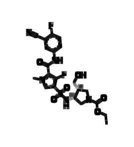 CCOC(=O)N1C[C@@H](CO)[C@@H](NS(=O)(=O)c2cn(C)c(C(=O)Nc3ccc(F)c(C#N)c3)c2F)C1